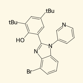 CC(C)(C)c1cc(-c2nc3c(Br)cccc3n2-c2cccnc2)c(O)c(C(C)(C)C)c1